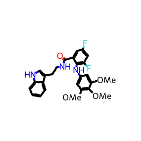 COc1cc(Nc2c(F)cc(F)cc2C(=O)NCCc2c[nH]c3ccccc23)cc(OC)c1OC